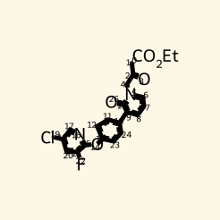 CCOC(=O)CC(=O)Cn1cccc(-c2ccc(Oc3ncc(Cl)cc3F)cc2)c1=O